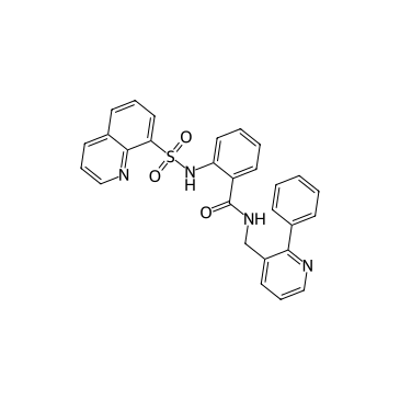 O=C(NCc1cccnc1-c1ccccc1)c1ccccc1NS(=O)(=O)c1cccc2cccnc12